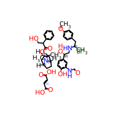 CC(C)[N+]1(C)[C@@H]2CC[C@H]1C[C@@H](OC(=O)C(CO)c1ccccc1)C2.COc1ccc(C[C@@H](C)NC[C@H](O)c2ccc(O)c(NC=O)c2)cc1.O=C(O)/C=C/C(=O)O.[Br-]